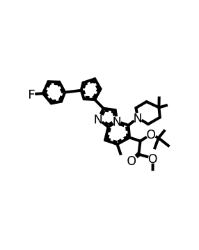 COC(=O)C(OC(C)(C)C)c1c(C)cc2nc(-c3cccc(-c4ccc(F)cc4)c3)cn2c1N1CCC(C)(C)CC1